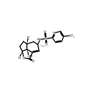 C[C@]1(NS(=O)(=O)c2ccc(C(F)(F)F)cn2)C=C2C(=O)O[C@@H]3CC[C@H](C1)[C@]23O